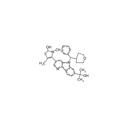 CC1=C(c2cnc3c4ccc(C(C)(C)O)cc4n(C(c4ccccc4)C4CCOCC4)c3c2)N(C)C(O)S1